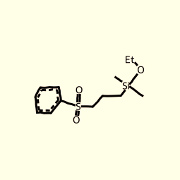 CCO[Si](C)(C)CCCS(=O)(=O)c1ccccc1